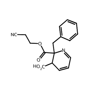 N#CCCOC(=O)C1(Cc2ccccc2)N=CC=CC1C(=O)O